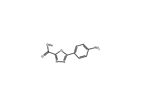 COC(=O)c1nnc(-c2ccc([N+](=O)[O-])cc2)o1